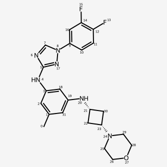 Cc1cc(Nc2ncn(-c3ccc(F)c(F)c3)n2)cc(N[C@H]2C[C@@H](N3CCOCC3)C2)c1